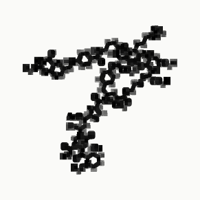 CCCC(=O)OCN(C(=O)[C@@H](NC(=O)[C@H]1CCCCN1C)C(C)CC)[C@H](C[C@@H](OC(C)=O)c1nc(C(=O)N[C@@H](Cc2ccc(O)cc2)C[C@H](C)C(=O)OCCSS[C@H](NC(=O)[C@H](CC(=O)O)NC(=O)[C@H](CCCNN)NC(=O)[C@H](CC(=O)O)NC(=O)CCCNC(=O)c2ccc(NCc3cnc4nc(N)[nH]c(=O)c4n3)cc2)C(=O)O)cs1)C(C)C